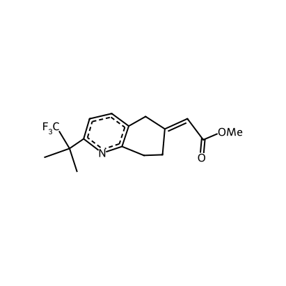 COC(=O)/C=C1\CCc2nc(C(C)(C)C(F)(F)F)ccc2C1